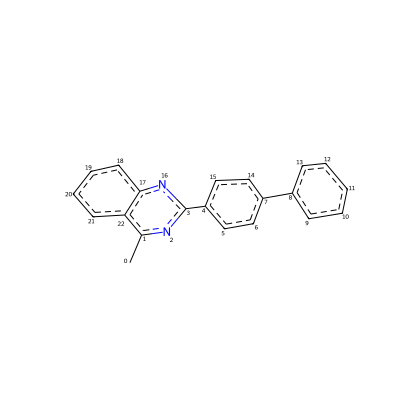 Cc1nc(-c2ccc(-c3ccccc3)cc2)nc2ccccc12